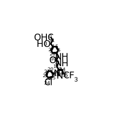 O=CCC(O)c1ccc(NC(=O)NCc2cc(C(F)(F)F)nn2-c2cccc(Cl)c2)cc1